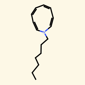 CCCCCCCn1cccccccc1